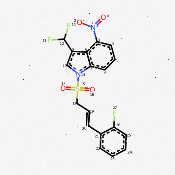 O=[N+]([O-])c1cccc2c1c(C(F)F)cn2S(=O)(=O)CC=Cc1ccccc1F